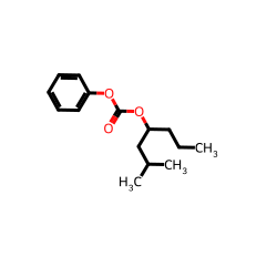 CCCC(CC(C)C)OC(=O)Oc1ccccc1